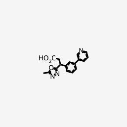 Cc1nnc(C(CC(=O)O)c2cccc(-c3cccnc3)c2)o1